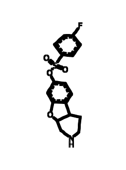 O=S(=O)(Oc1ccc2c(c1)OC1CNCCC21)c1ccc(F)cc1